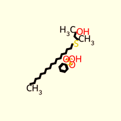 CCCCCCCCCCCCCCCCCCSC(C)CC(C)O.O=S(=O)(O)c1ccccc1